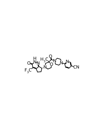 C[C@]1(C(=O)N2CCN(c3ccc(C#N)cn3)CC2)CN([C@@H]2CCc3c2n[nH]c(=O)c3C(F)(F)F)CCO1